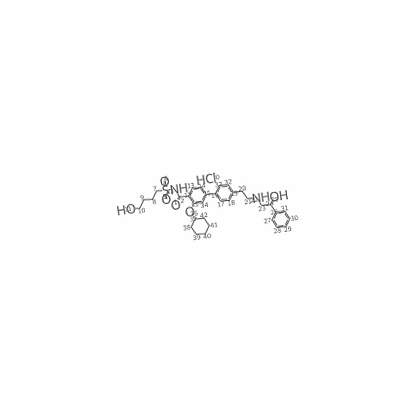 Cl.O=C(NS(=O)(=O)CCCCO)c1ccc(-c2ccc(CCNC[C@@H](O)c3ccccc3)cc2)cc1OC1CCCCC1